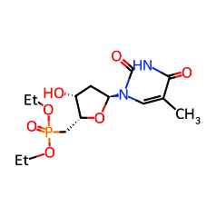 CCOP(=O)(C[C@H]1O[C@H](n2cc(C)c(=O)[nH]c2=O)C[C@H]1O)OCC